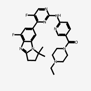 CCN1CCN(C(=O)c2ccc(Nc3ncc(F)c(-c4cc(F)c5nc6n(c5c4)C(C)(C)CC6)n3)nc2)CC1